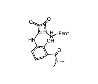 CCC[C@H](C)Nc1c(Nc2cccc(C(=O)N(C)C)c2O)c(=O)c1=O